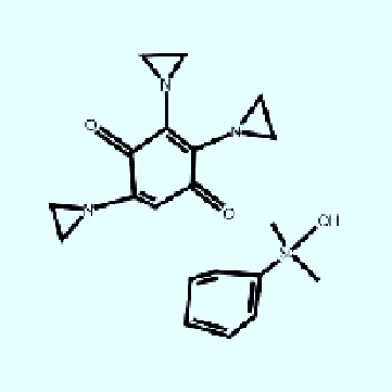 C[Si](C)(O)c1ccccc1.O=C1C=C(N2CC2)C(=O)C(N2CC2)=C1N1CC1